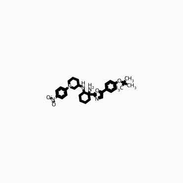 CC(C)(C)Oc1ccc(-c2cnc(C3(N)CCCCC3NC3CCCN(c4ccc([N+](=O)[O-])cc4)C3)o2)cc1